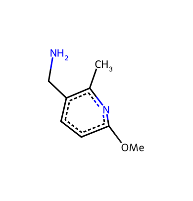 COc1ccc(CN)c(C)n1